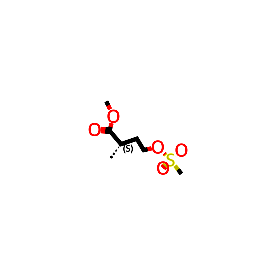 COC(=O)[C@@H](C)CCOS(C)(=O)=O